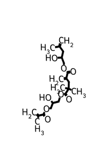 C=C(C)CC(O)COC(=O)C(=C)CC(C)(C)C(=O)OCC(O)COC(=O)C(=C)C